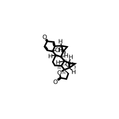 C[C@]12C=CC(=O)C=C1[C@@H]1C[C@@H]1[C@H]1[C@@H]3[C@@H]4C[C@@H]4[C@@]4(CCC(=O)O4)[C@@]3(C)CC[C@@H]12